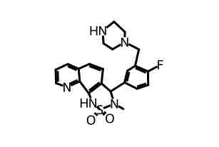 CN1C(c2ccc(F)c(CN3CCNCC3)c2)c2ccc3cccnc3c2NS1(=O)=O